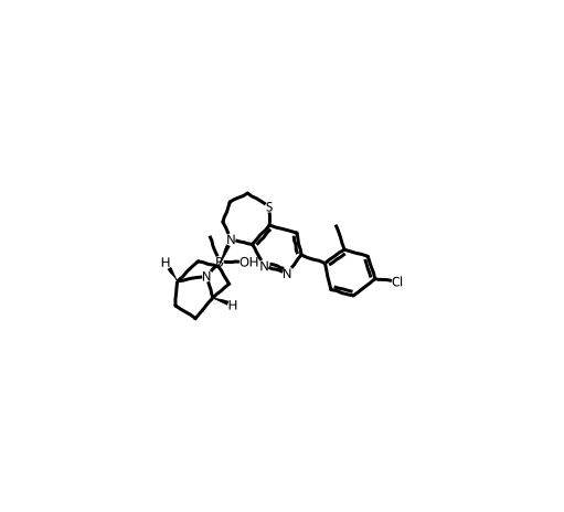 CB(O)N1[C@@H]2CC[C@H]1C[C@H](N1CCCSc3cc(-c4ccc(Cl)cc4C)nnc31)C2